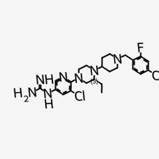 CC[C@H]1CN(c2ncc(NC(=N)N)cc2Cl)CCN1C1CCN(Cc2ccc(Cl)cc2F)CC1